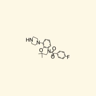 CC1(C)CN(S(=O)(=O)c2ccc(F)cc2)c2cccc(N3CCNCC3)c2O1